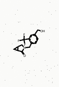 O=C1C2CC2CN1Cc1ccc(CO)cc1C(F)(F)F